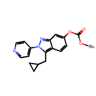 CC(C)(C)OC(=O)Oc1ccc2c(CC3CC3)n(-c3ccncc3)nc2c1